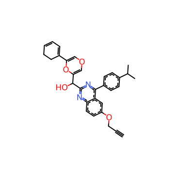 C#CCOc1ccc2nc(C(O)C3=COC=C(C4=CC=CCC4)O3)nc(-c3ccc(C(C)C)cc3)c2c1